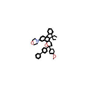 CCC1(CC)c2ccccc2-c2c1c1c(c3cc(N4CCOCC4)ccc23)OC(C2=CC=C(OC)CC2)(c2ccc(-c3ccccc3)cc2)C=C1